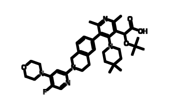 Cc1nc(C)c(C(OC(C)(C)C)C(=O)O)c(N2CCC(C)(C)CC2)c1-c1ccc2c(c1)CCN(c1cc(N3CCOCC3)c(F)cn1)C2